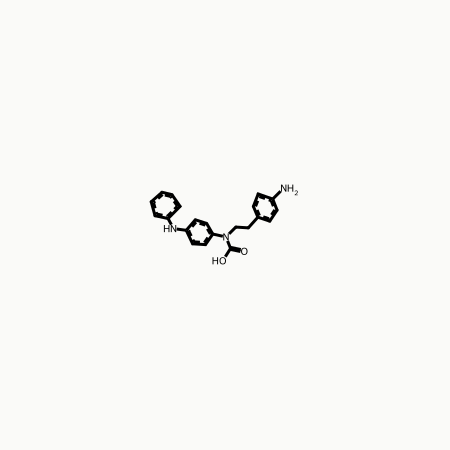 Nc1ccc(CCN(C(=O)O)c2ccc(Nc3ccccc3)cc2)cc1